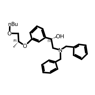 CCCCOC[C@@H](C)Oc1cccc([C@H](O)CN(Cc2ccccc2)Cc2ccccc2)c1